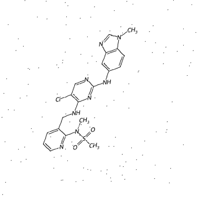 CN(c1ncccc1CNc1nc(Nc2ccc3c(c2)ncn3C)ncc1Cl)S(C)(=O)=O